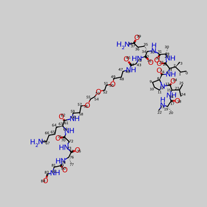 CC[C@H](C)C(NC(=O)[C@@H]1CCCN1C(=O)C(NC(=O)[C@H](C)NC)C(C)C)C(=O)N[C@@H](C)C(=O)N[C@@H](CCC(N)=O)C(=O)NCC(=O)NCCCOCCOCCOCCCNC(=O)[C@H](CCCCN)NC(=O)CNC(=O)[C@H](C)NC(=O)CNC=O